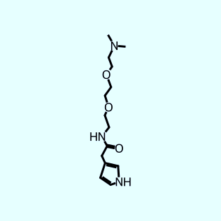 CN(C)CCOCCOCCNC(=O)Cc1cc[nH]c1